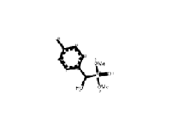 COP(=O)(OC)C(O)c1ccc(C)cc1